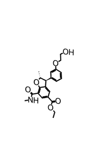 CCOC(=O)c1cc(C(=O)NC)c2c(c1)[C@H](c1cccc(OCCO)c1)[C@@H](C)O2